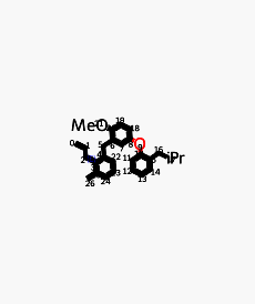 C=C/C=c1\c(Cc2cc(Oc3ccccc3CC(C)C)ccc2OC)cccc1=C